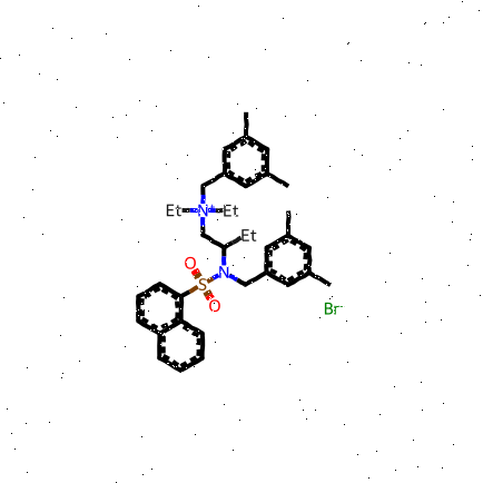 CCC(C[N+](CC)(CC)Cc1cc(C)cc(C)c1)N(Cc1cc(C)cc(C)c1)S(=O)(=O)c1cccc2ccccc12.[Br-]